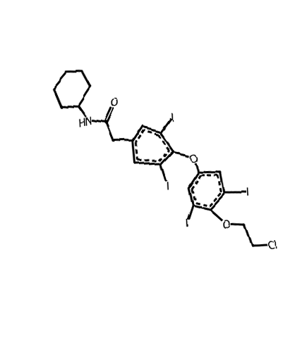 O=C(Cc1cc(I)c(Oc2cc(I)c(OCCCl)c(I)c2)c(I)c1)NC1CCCCC1